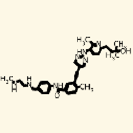 CNCCNCc1ccc(NC(=O)c2ccc(C)c(C#Cc3cnc(NC4=CCC(CCC(C)(C)O)N=C4C)nc3)c2)cc1